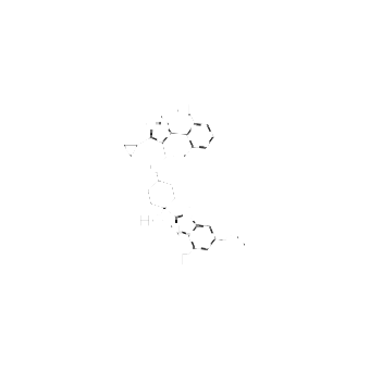 N#Cc1cc(F)c2nc(C3(O)CCC(OCc4c(-c5c(Cl)cccc5Cl)noc4C4CC4)CC3)sc2c1